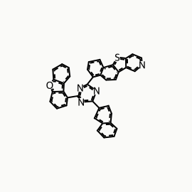 c1ccc2cc(-c3nc(-c4cccc5c4ccc4c6cnccc6sc54)nc(-c4cccc5oc6ccccc6c45)n3)ccc2c1